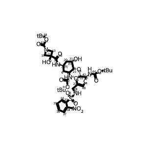 CC(C)(C)OC(=O)N[C@H]1C[C@@H](NC(=O)C2(O)CN(C(=O)OC(C)(C)C)C2)C[C@@H](O)[C@@H]1O[C@H]1OC(CNS(=O)(=O)c2ccccc2[N+](=O)[O-])=CC[C@H]1NC(=O)OC(C)(C)C